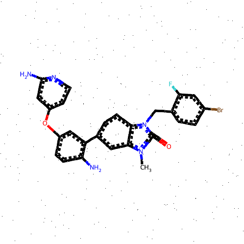 Cn1c(=O)n(Cc2ccc(Br)cc2F)c2ccc(-c3cc(Oc4ccnc(N)c4)ccc3N)cc21